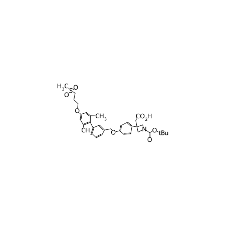 Cc1cc(OCCCS(C)(=O)=O)cc(C)c1-c1cccc(COc2ccc(C3(CC(=O)O)CN(C(=O)OC(C)(C)C)C3)cc2)c1